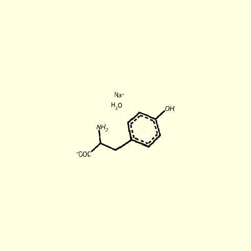 NC(Cc1ccc(O)cc1)C(=O)[O-].O.[Na+]